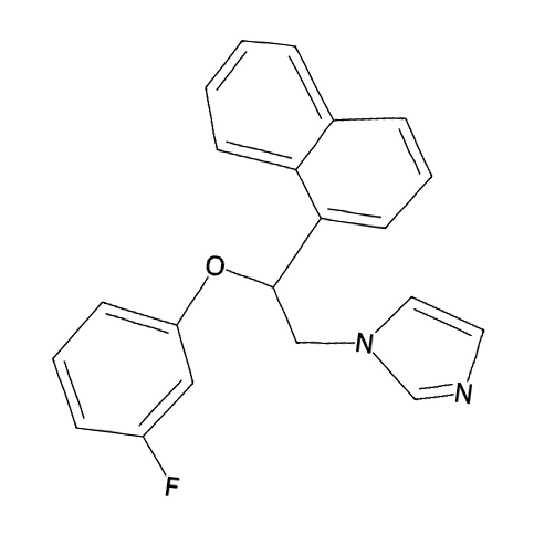 Fc1cccc(OC(Cn2ccnc2)c2cccc3ccccc23)c1